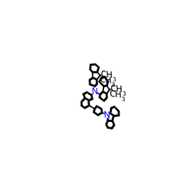 CC1(C)c2ccccc2-c2ccc(N(c3ccc4cccc(-c5ccc(-n6c7ccccc7c7ccccc76)cc5)c4c3)c3cccc4c3-c3ccccc3C4(C)C)cc21